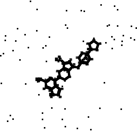 Cc1nc(N2CCc3c(c(C)nn3CC34CCC(N5CCCC5)(CC3)CC4)C2)c2cn[nH]c2n1